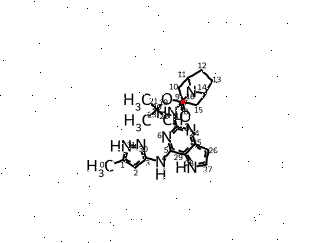 Cc1cc(Nc2nc(NC3CC4CCC(C3)N4C(=O)OC(C)(C)C)nc3cc[nH]c23)n[nH]1